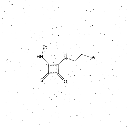 CCNc1c(NCCC(C)C)c(=O)c1=S